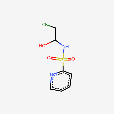 O=S(=O)(NC(O)CCl)c1ccccn1